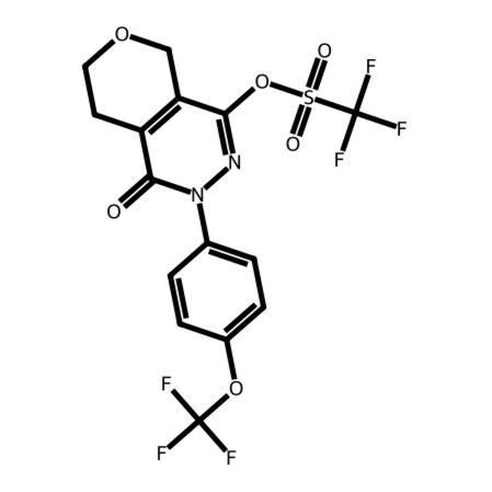 O=c1c2c(c(OS(=O)(=O)C(F)(F)F)nn1-c1ccc(OC(F)(F)F)cc1)COCC2